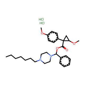 CCCCCCCN1CCN(C(OC(=O)C2(c3ccc(OC)cc3)CC2OC)c2ccccc2)CC1.Cl.Cl